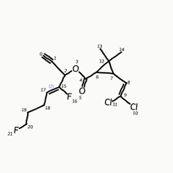 C#CC(OC(=O)C1C(C=C(Cl)Cl)C1(C)C)/C(F)=C/CCCF